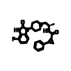 C[C@@H](CN1CCC(n2c(=O)[nH]c3c(F)cccc32)CC1)NC(=O)C1CC1c1ccccc1